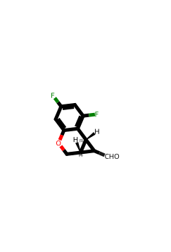 O=CC1[C@H]2c3c(F)cc(F)cc3OC[C@@H]12